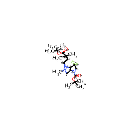 CN1CC2C(N1CCC(C)(C)C(=O)OC(C)(C)C)C(F)(F)CN2C(=O)OC(C)(C)C